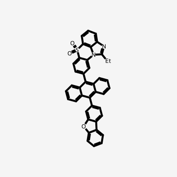 CCc1nc2cccc3c2n1-c1cc(-c2c4ccccc4c(-c4ccc5c(c4)oc4ccccc45)c4ccccc24)ccc1S3(=O)=O